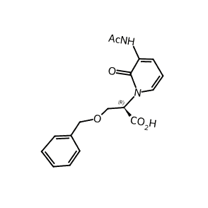 CC(=O)Nc1cccn([C@H](COCc2ccccc2)C(=O)O)c1=O